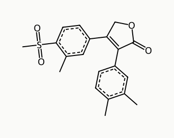 Cc1ccc(C2=C(c3ccc(S(C)(=O)=O)c(C)c3)COC2=O)cc1C